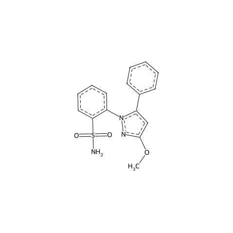 COc1cc(-c2ccccc2)n(-c2ccccc2S(N)(=O)=O)n1